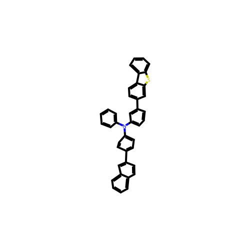 c1ccc(N(c2ccc(-c3ccc4ccccc4c3)cc2)c2cccc(-c3ccc4c(c3)sc3ccccc34)c2)cc1